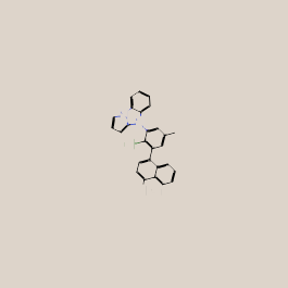 Cc1cc(-c2ccc(C(C)(C)C)c3ccccc23)c(Cl)c(-n2c3ccccc3n3cccc23)c1